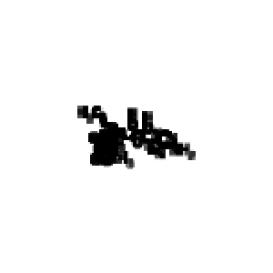 CCCOP(=O)(OC[C@H]1O[C@@H](n2cnc3c(N)ncnc32)[C@H](O)[C@@H]1O)OP(=O)(O)OP(=O)(O)OC